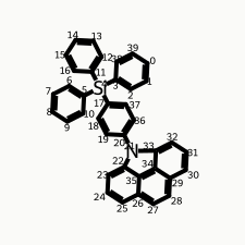 c1ccc([Si](c2ccccc2)(c2ccccc2)c2ccc(-n3c4cccc5ccc6cccc3c6c54)cc2)cc1